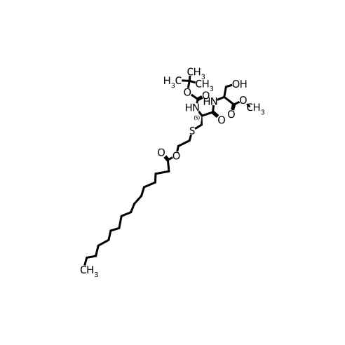 CCCCCCCCCCCCCCCC(=O)OCCSC[C@@H](NC(=O)OC(C)(C)C)C(=O)NC(CO)C(=O)OC